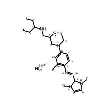 CCC(CC)NCC(O)CN(CC)c1ccc(/N=N/C2N(C)C=CN2C)c(C)c1.I.I